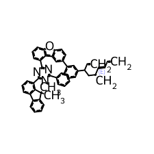 C=C/C=C/C(=C)CC(C=C)c1cccc(-c2ccc3oc4cccc(-c5nc(-c6ccccc6)nc(-c6cccc7c6C(C)(C)c6ccccc6-7)n5)c4c3c2)c1